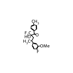 COc1cc(C(C)CC(O)(C(=O)c2ccc(C)cc2)C(F)(F)F)ccc1F